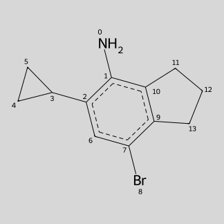 Nc1c(C2CC2)cc(Br)c2c1CCC2